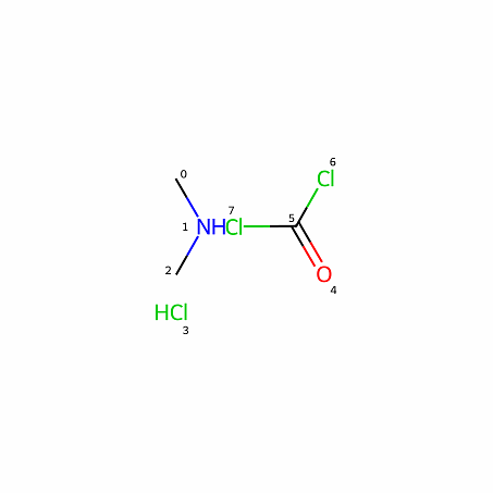 CNC.Cl.O=C(Cl)Cl